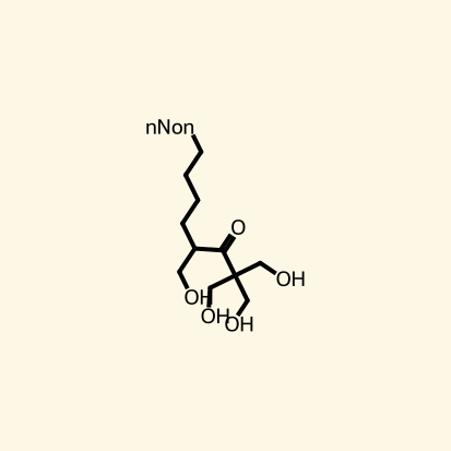 CCCCCCCCCCCCCC(CO)C(=O)C(CO)(CO)CO